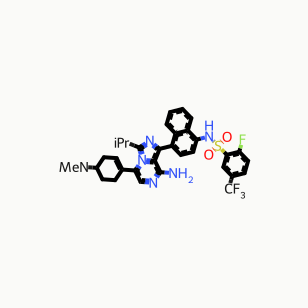 CNC1CC=C(c2cnc(N)c3c(-c4ccc(NS(=O)(=O)c5cc(C(F)(F)F)ccc5F)c5ccccc45)nc(C(C)C)n23)CC1